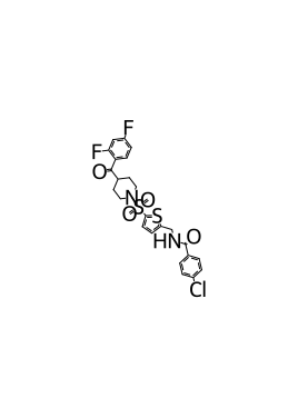 O=C(NCc1ccc(S(=O)(=O)N2CCC(C(=O)c3ccc(F)cc3F)CC2)s1)c1ccc(Cl)cc1